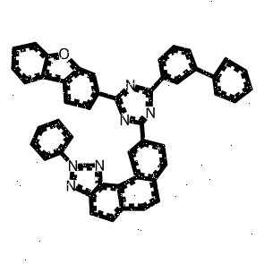 c1ccc(-c2cccc(-c3nc(-c4ccc5c(c4)oc4ccccc45)nc(-c4ccc5ccc6ccc7nn(-c8ccccc8)nc7c6c5c4)n3)c2)cc1